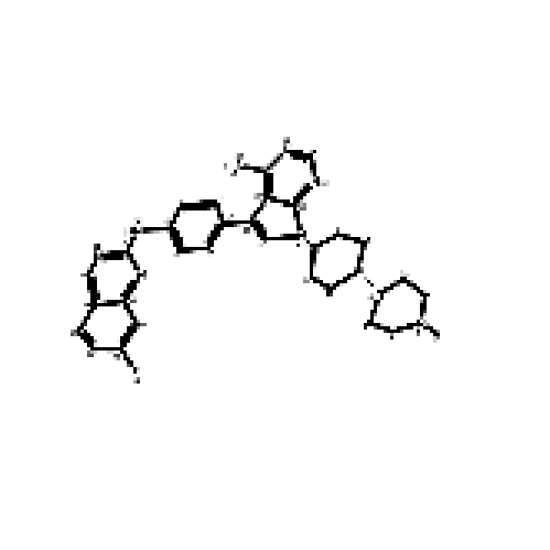 CN1CCN([C@H]2CC[C@@H](n3cc(-c4ccc(Nc5ncc6ccc(F)cc6n5)cc4)c4c(N)ncnc43)CC2)CC1